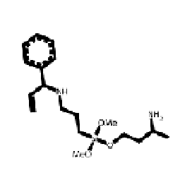 C=CC(NCCC[Si](OC)(OC)OCCC(C)N)c1ccccc1